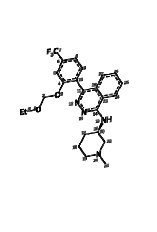 CCOCOc1cc(C(F)(F)F)ccc1-c1nnc(N[C@@H]2CCCN(C)C2)c2ccccc12